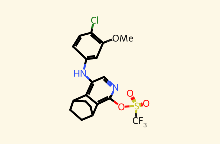 COc1cc(Nc2cnc(OS(=O)(=O)C(F)(F)F)c3c2C2CCC3CC2)ccc1Cl